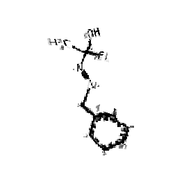 CCC(C)(O)/N=N/Cc1ccccc1